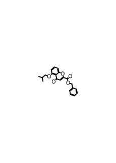 CC(C)COc1cccc2oc(C(=O)OCc3ccccc3)cc(=O)c12